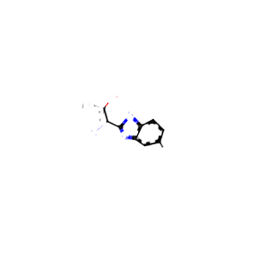 CC(C)[C@@H](O)[C@H](N)c1nc2cc(C(C)(C)C)ccc2[nH]1